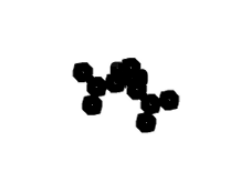 c1ccc(-c2cc(-c3ccccc3)cc(-c3ccc4c(c3)Oc3cccc5c3N4c3ccc(-c4cc(-c6ccccc6)cc(-c6ccccc6)c4)cc3O5)c2)cc1